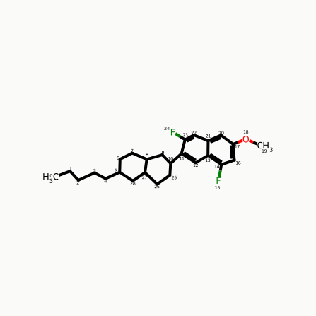 CCCCCC1CCC2CC(c3cc4c(F)cc(OC)cc4cc3F)CCC2C1